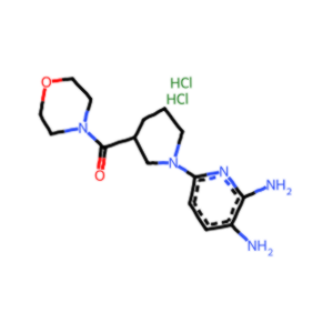 Cl.Cl.Nc1ccc(N2CCCC(C(=O)N3CCOCC3)C2)nc1N